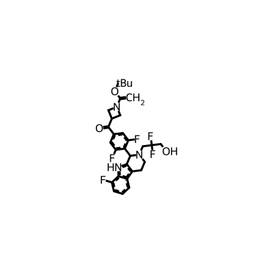 C=C(OC(C)(C)C)N1CC(C(=O)c2cc(F)c(C3c4[nH]c5c(F)cccc5c4CCN3CC(F)(F)CO)c(F)c2)C1